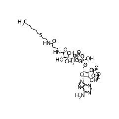 CCCCCCSCCNC(=O)CCNC(=O)[C@H](O)C(C)(C)COP(=O)(O)OP(=O)(O)OC[C@H]1O[C@@H](n2cnc3c(N)ncnc32)[C@H](O)[C@@H]1OP(=O)(O)O